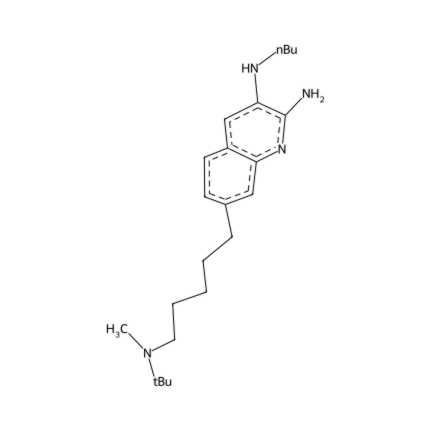 CCCCNc1cc2ccc(CCCCCN(C)C(C)(C)C)cc2nc1N